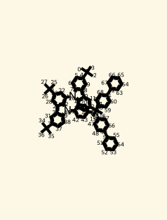 CC(C)(C)c1ccc2c(c1)c1cc(C(C)(C)C)ccc1n2-c1cc(C(C)(C)C)cc2c3cc(C(C)(C)C)ccc3n(-c3ccc(N(c4ccc(-c5ccccc5)cc4)c4ccc(-c5ccccc5)cc4)cc3)c12